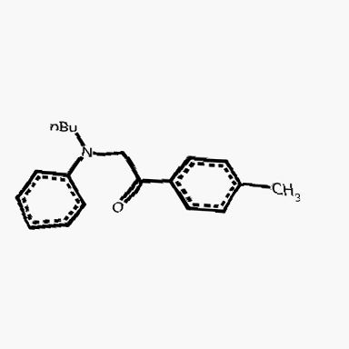 CCCCN(CC(=O)c1ccc(C)cc1)c1ccccc1